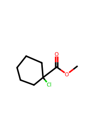 COC(=O)C1(Cl)CCCCC1